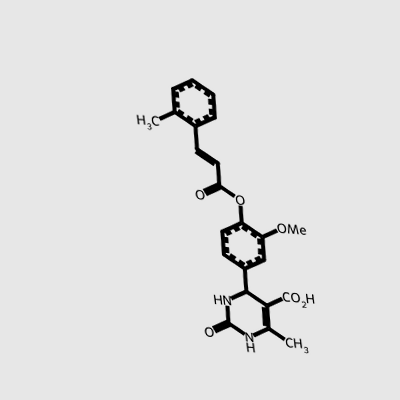 COc1cc(C2NC(=O)NC(C)=C2C(=O)O)ccc1OC(=O)C=Cc1ccccc1C